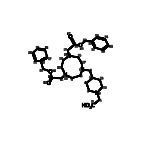 O=C(O)CN1CCC(CN2CCN(CC(=O)OCc3ccccc3)CCN(CC(=O)OCc3ccccc3)CC2)CC1